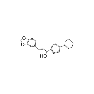 OC(/C=C/c1ccc2c(c1)OCO2)c1ccc(C2=CCCCC2)cc1